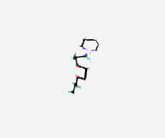 FC(C(F)(F)F)C(F)(F)C1CCC(C(F)(C(F)N2CCCCC2)C(F)(F)F)O1